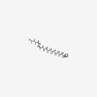 CCCC/C=C\C=C/CCCCCCCCCCCCCl